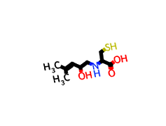 CC(C)=CC(O)CNC(CS)C(=O)O